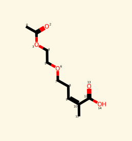 CC(=O)OCCOCCC=C(C)C(=O)O